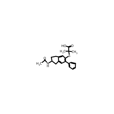 CC(=O)NC1CCc2cc(SC(C)(C)C(=O)O)c(-c3ccccc3)cc2C1